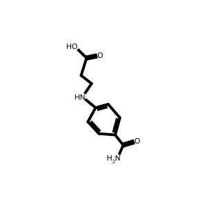 NC(=O)c1ccc(NCCC(=O)O)cc1